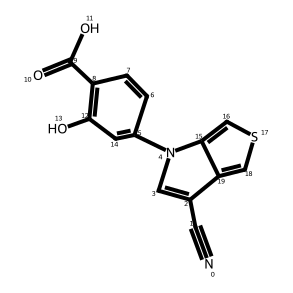 N#Cc1cn(-c2ccc(C(=O)O)c(O)c2)c2cscc12